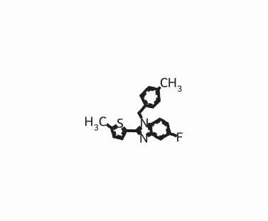 Cc1ccc(Cn2c(-c3ccc(C)s3)nc3cc(F)ccc32)cc1